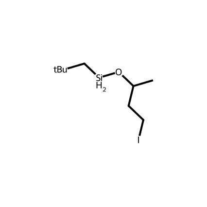 CC(CCI)O[SiH2]CC(C)(C)C